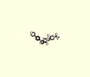 CN(C)C(=O)N1CCC(O)(Cn2cnc3c(cnn3-c3ccc(C4CCOCC4)cc3)c2=O)CC1